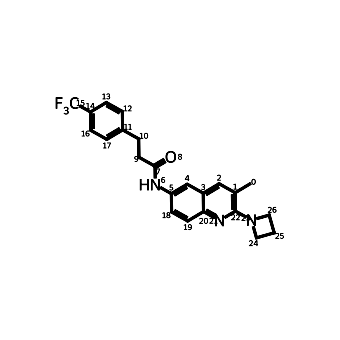 Cc1cc2cc(NC(=O)CCc3ccc(C(F)(F)F)cc3)ccc2nc1N1CCC1